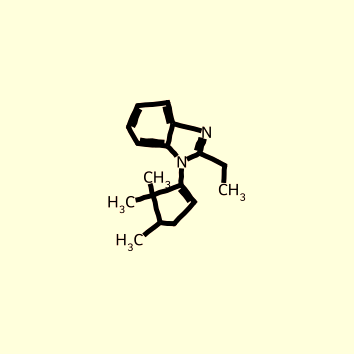 CCc1nc2ccccc2n1C1=CCC(C)C1(C)C